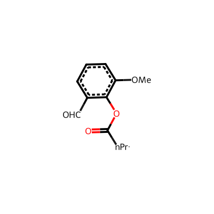 CC[CH]C(=O)Oc1c(C=O)cccc1OC